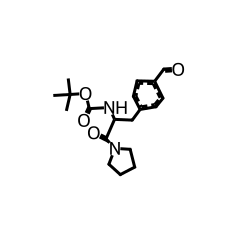 CC(C)(C)OC(=O)NC(Cc1ccc(C=O)cc1)C(=O)N1CCCC1